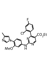 CCOC(=O)c1cnc(Nc2ccc(-n3cnc(C)c3)c(OC)c2)nc1-c1ccc(F)cc1Cl